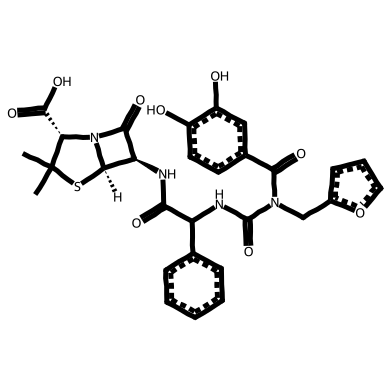 CC1(C)S[C@@H]2[C@H](NC(=O)C(NC(=O)N(Cc3ccco3)C(=O)c3ccc(O)c(O)c3)c3ccccc3)C(=O)N2[C@H]1C(=O)O